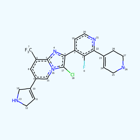 Fc1c(-c2nc3c(C(F)(F)F)cc(C4=CCNC4)cn3c2Cl)ccnc1C1=CC[N]CC1